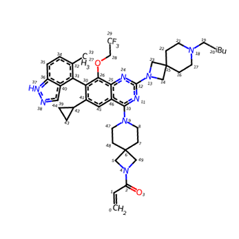 C=CC(=O)N1CC2(CCN(c3nc(N4CC5(CCN(CC(C)CC)CC5)C4)nc4c(OCC(F)(F)F)c(-c5c(C)ccc6[nH]ncc56)c(C5CC5)cc34)CC2)C1